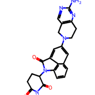 Nc1ncc2c(n1)CCN(c1cc3c4c(cccc4c1)N(C1CCC(=O)NC1=O)C3=O)C2